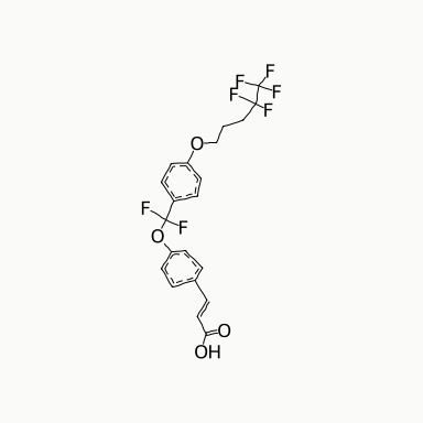 O=C(O)C=Cc1ccc(OC(F)(F)c2ccc(OCCCC(F)(F)C(F)(F)F)cc2)cc1